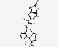 CC(C(=O)N[C@H](CN1CCC(O)C1)c1cccc(C#N)c1)c1ccc2oc(=O)[nH]c2c1